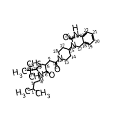 CC(C)CCN1C(=O)C(CC(=O)N2CCC(N3Cc4ccccc4NC3=O)CC2)SC1C(C)(C)C